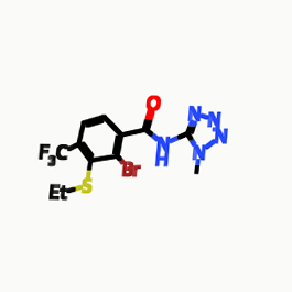 CCSc1c(C(F)(F)F)ccc(C(=O)Nc2nnnn2C)c1Br